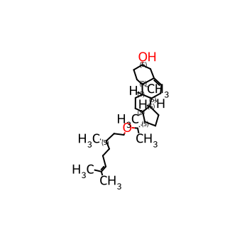 CC(C)=CCC[C@H](C)CCOC(C)[C@H]1CC[C@H]2[C@@H]3CC=C4C[C@@H](O)CC[C@]4(C)[C@H]3CC[C@]12C